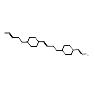 CC=CCCC1CCC(C=CCCC2CCC(C=CCC)CC2)CC1